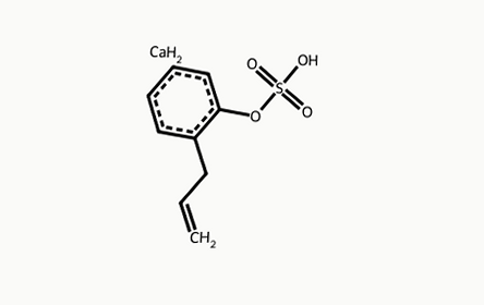 C=CCc1ccccc1OS(=O)(=O)O.[CaH2]